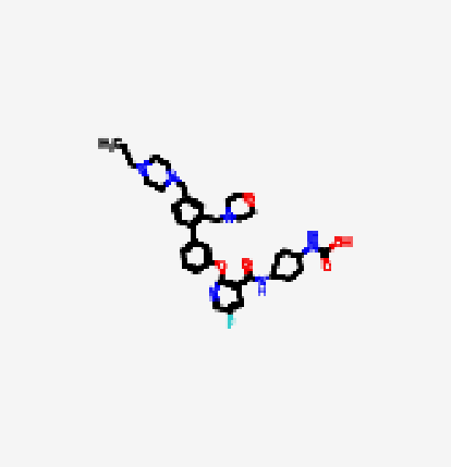 CCCN1CCN(Cc2ccc(-c3cccc(Oc4ncc(F)cc4C(=O)N[C@H]4CC[C@H](NC(=O)O)CC4)c3)c(CN3CCOCC3)c2)CC1